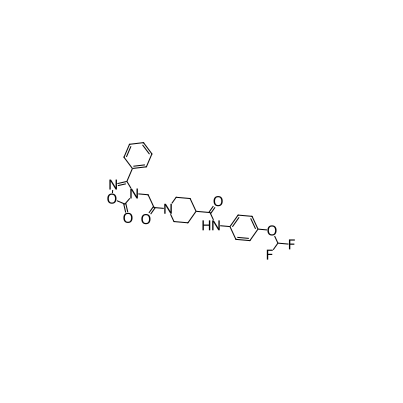 O=C(Nc1ccc(OC(F)F)cc1)C1CCN(C(=O)Cn2c(-c3ccccc3)noc2=O)CC1